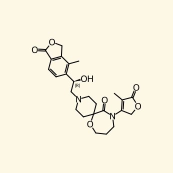 CC1=C(N2CCCOC3(CCN(C[C@H](O)c4ccc5c(c4C)COC5=O)CC3)C2=O)COC1=O